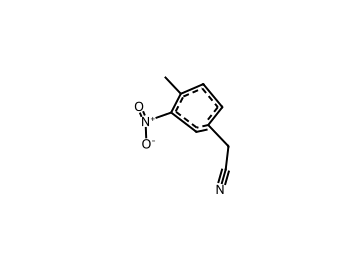 Cc1ccc(CC#N)cc1[N+](=O)[O-]